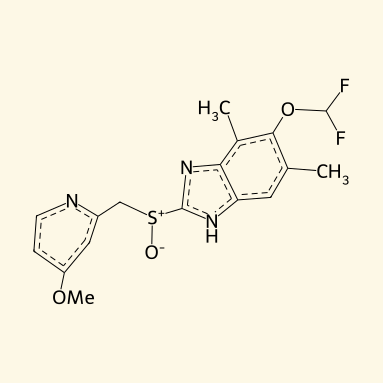 COc1ccnc(C[S+]([O-])c2nc3c(C)c(OC(F)F)c(C)cc3[nH]2)c1